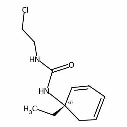 CC[C@@]1(NC(=O)NCCCl)C=CC=CC1